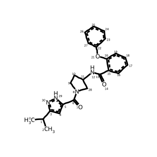 CC(C)c1cc(C(=O)N2CCC(NC(=O)c3ccccc3Oc3ccccc3)C2)[nH]n1